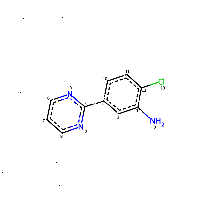 Nc1cc(-c2ncccn2)ccc1Cl